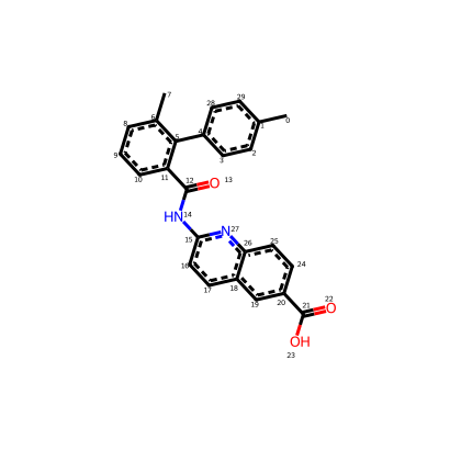 Cc1ccc(-c2c(C)cccc2C(=O)Nc2ccc3cc(C(=O)O)ccc3n2)cc1